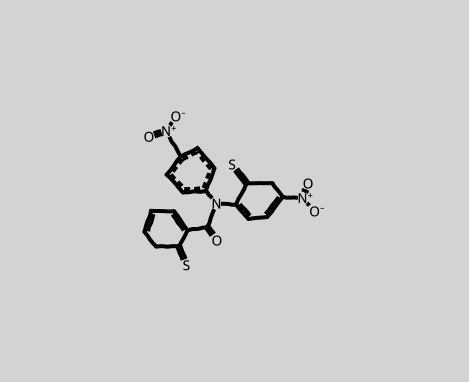 O=C(C1=CC=CCC1=S)N(C1=CC=C([N+](=O)[O-])CC1=S)c1ccc([N+](=O)[O-])cc1